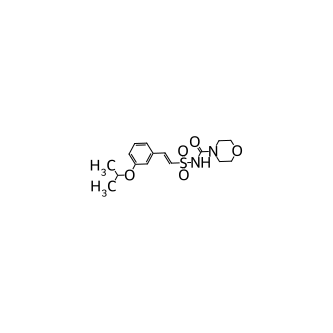 CC(C)Oc1cccc(C=CS(=O)(=O)NC(=O)N2CCOCC2)c1